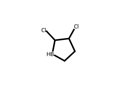 ClC1BCCC1Cl